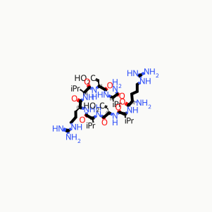 CC(C)[C@H](NC(=O)[C@H](CC(=O)O)NC(=O)[C@@H](NC(=O)[C@H](CCCNC(=N)N)NC(=O)[C@@H](NC(=O)[C@H](CC(=O)O)NC(=O)[C@@H](NC(=O)[C@@H](N)CCCNC(=N)N)C(C)C)C(C)C)C(C)C)C(N)=O